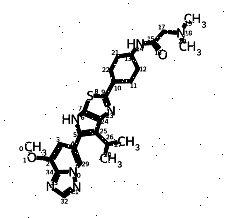 COc1cc(-c2[nH]c3sc(C4CCC(NC(=O)CN(C)C)CC4)nc3c2C(C)C)cn2ncnc12